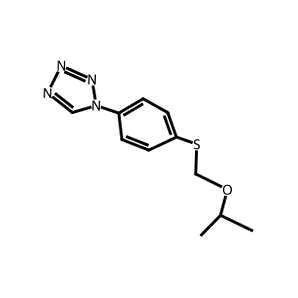 CC(C)OCSc1ccc(-n2cnnn2)cc1